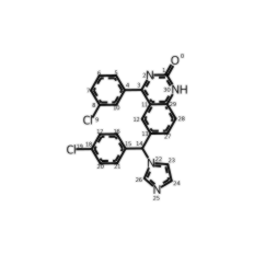 O=c1nc(-c2cccc(Cl)c2)c2cc(C(c3ccc(Cl)cc3)n3ccnc3)ccc2[nH]1